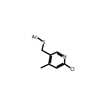 CC(=O)SCc1cnc(Cl)cc1C